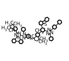 Cc1cc2c(cc1-c1cc(-c3nc(-c4ccccc4)nc(-c4ccc(-c5ccccc5)cc4)n3)cc(-c3cccc4c3sc3ccccc34)c1)C(C)(C)CCC2(C)Cc1ccc2c(c1)nc(-c1nc(-c3ccc4c(c3)C(C)(C)CC4(C)C)nc(-c3ccccc3-c3ccccc3)n1)n2-c1ccccc1